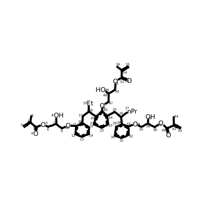 C=C(C)C(=O)OCC(O)COc1ccccc1CC(CC)c1cccc(CC(CCC)c2ccccc2OCC(O)COC(=O)C(=C)C)c1OCC(O)COC(=O)C(=C)C